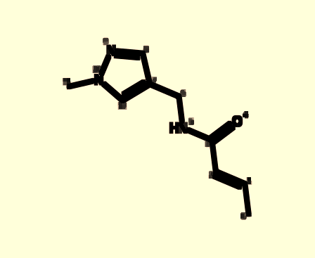 CC=CC(=O)NCc1cnn(C)c1